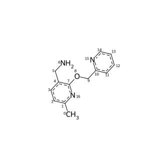 Cc1ccc(CN)c(OCc2ccccn2)n1